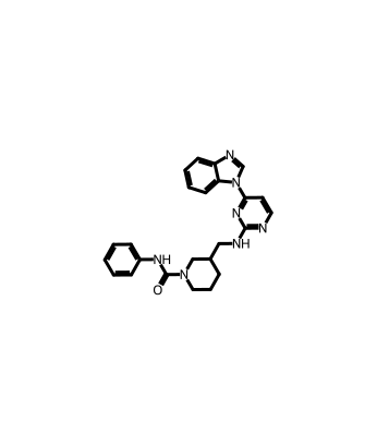 O=C(Nc1ccccc1)N1CCCC(CNc2nccc(-n3cnc4ccccc43)n2)C1